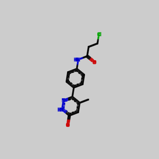 Cc1cc(=O)[nH]nc1-c1ccc(NC(=O)CCCl)cc1